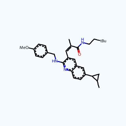 COc1ccc(CNc2nc3ccc(C4CC4C)cc3cc2C=C(C)C(=O)NCCC(C)(C)C)cc1